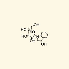 OC[C@H]1OC(n2cc(O)c3ccccc32)[C@@H](O)[C@@H](O)[C@@H]1O